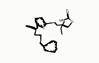 C=C(CCCc1ccccc1)c1ccc(CCC2(C)COC(=O)N2)s1